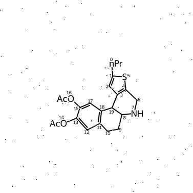 CCCc1cc2c(s1)CNC1CCc3cc(OC(C)=O)c(OC(C)=O)cc3C21